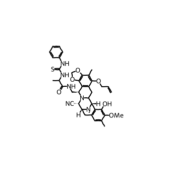 C=CCOc1c(C)c2c(c3c1CC1[C@@H]4c5c(cc(C)c(OC)c5O)C[C@H]([C@H](C#N)N1[C@H]3CNC(=O)C(C)NC(=S)Nc1ccccc1)N4C)OCO2